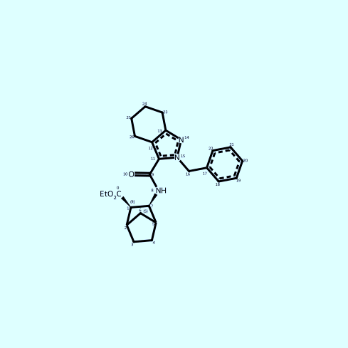 CCOC(=O)[C@@H]1C2CCC(C2)[C@@H]1NC(=O)c1c2c(nn1Cc1ccccc1)CCCC2